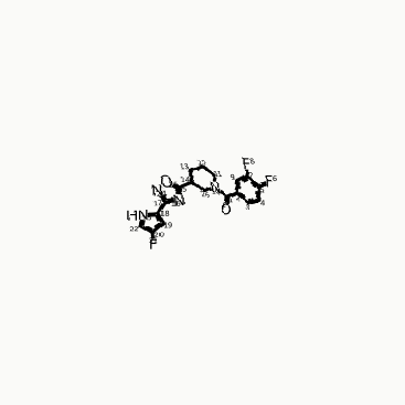 O=C(c1ccc(F)c(F)c1)N1CCCC(c2nc(-c3cc(F)c[nH]3)no2)C1